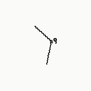 C=Cc1ccccc1.CCCCCCCCCCCCCCCCCCN(C)CCCCCCCCCCCCCCCCCC